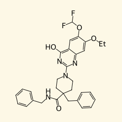 CCOc1cc2nc(N3CCC(Cc4ccccc4)(C(=O)NCc4ccccc4)CC3)nc(O)c2cc1OC(F)F